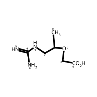 CC(CNC(=N)N)OCC(=O)O